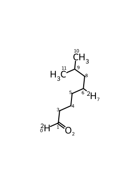 [2H]C(=O)CCCC([2H])CC(C)C